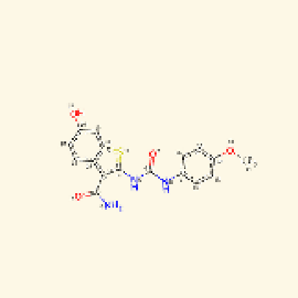 NC(=O)c1c(NC(=O)Nc2ccc(OC(F)(F)F)cc2)sc2cc(O)ccc12